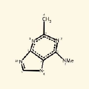 CNc1nc(C)nc2c1[N]C=N2